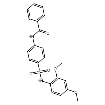 COc1ccc(NS(=O)(=O)c2ccc(NC(=O)c3ccccn3)cc2)c(OC)c1